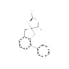 CC[C@@H]1OC(N)=N[C@]12Cc1cccc(-c3cncnc3)c1C2